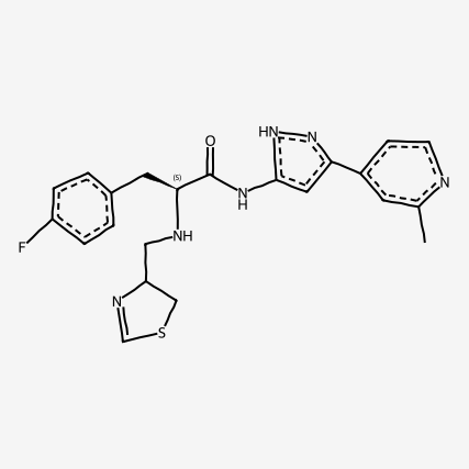 Cc1cc(-c2cc(NC(=O)[C@H](Cc3ccc(F)cc3)NCC3CSC=N3)[nH]n2)ccn1